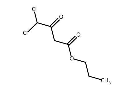 CCCOC(=O)CC(=O)C(Cl)Cl